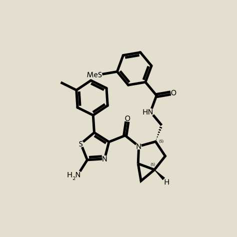 CSc1cccc(C(=O)NC[C@@H]2C[C@@H]3CC3N2C(=O)c2nc(N)sc2-c2cccc(C)c2)c1